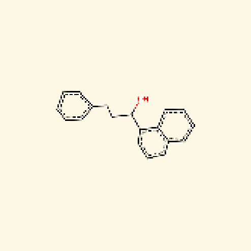 OC(CCc1ccccc1)c1cccc2ccccc12